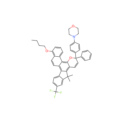 CCCCOc1cccc2c1ccc1c3c(c4c(c12)OC(c1ccccc1)(c1ccc(N2CCOCC2)cc1)C=C4)C(C)(C)c1cc(C(F)(F)F)ccc1-3